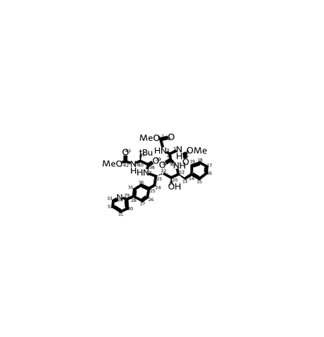 COC(=O)NC(NC(=O)OC)C(=O)N[C@@H](Cc1ccccc1)[C@@H](O)C[C@H](Cc1ccc(-c2ccccn2)cc1)NC(=O)[C@@H](NC(=O)OC)C(C)(C)C